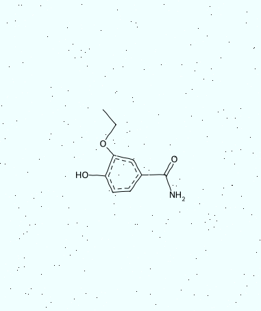 CCOc1cc(C(N)=O)ccc1O